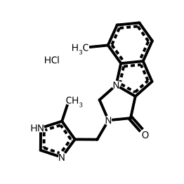 Cc1[nH]cnc1CN1Cn2c(cc3cccc(C)c32)C1=O.Cl